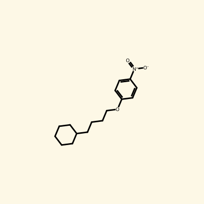 O=[N+]([O-])c1ccc(OCCCCC2CCCCC2)cc1